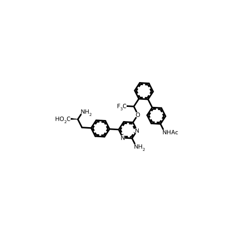 CC(=O)Nc1ccc(-c2ccccc2C(Oc2cc(-c3ccc(C[C@H](N)C(=O)O)cc3)nc(N)n2)C(F)(F)F)cc1